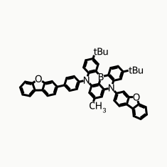 Cc1cc2c3c(c1)N(c1ccc4c(c1)oc1ccccc14)c1cc(C(C)(C)C)ccc1B3c1cc(C(C)(C)C)ccc1N2c1ccc(-c2ccc3c(c2)oc2ccccc23)cc1